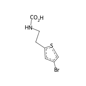 O=C(O)NCCc1cc(Br)cs1